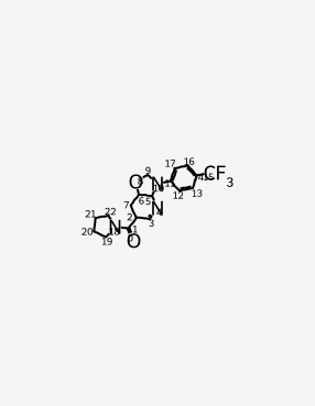 O=C(C1C=NC2C(C1)OCN2c1ccc(C(F)(F)F)cc1)N1CCCC1